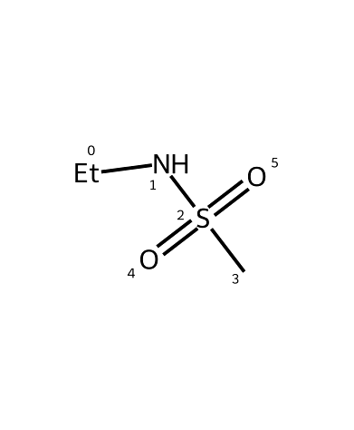 [CH2]CNS(C)(=O)=O